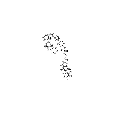 O=C(CN1CCC(n2cc(-c3cnc4cccc(-c5cc(F)c(CN6CCOCC6)c(F)c5)c4n3)cn2)CC1)NCCCNc1ccc2c(c1)C(=O)N(C1CCC(=O)NC1=O)C2=O